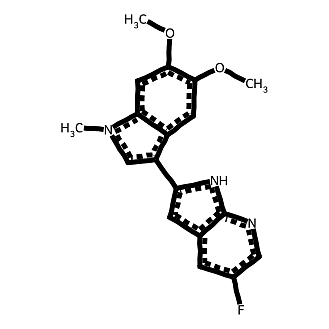 COc1cc2c(-c3cc4cc(F)cnc4[nH]3)cn(C)c2cc1OC